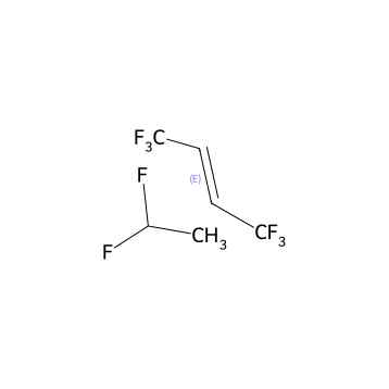 CC(F)F.FC(F)(F)/C=C/C(F)(F)F